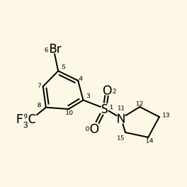 O=S(=O)(c1cc(Br)cc(C(F)(F)F)c1)N1CCCC1